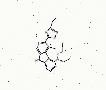 CCOC(CC)c1cccc2[nH]c3cnc(-c4nc(CC)no4)c(C)c3c12